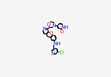 O=c1cc(N2CCOC(c3nccc4c3Oc3ccc(NCc5cncc(Cl)c5)cc3C4)C2)cc[nH]1